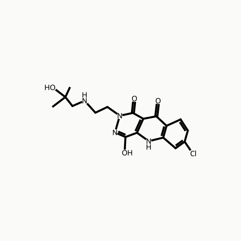 CC(C)(O)CNCCn1nc(O)c2[nH]c3cc(Cl)ccc3c(=O)c2c1=O